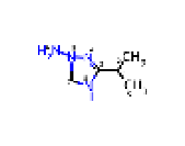 CC(C)C1=NN(N)CN1